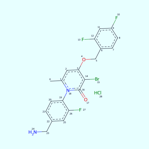 Cc1cc(OCc2ccc(F)cc2F)c(Br)c(=O)n1-c1ccc(CN)cc1F.Cl